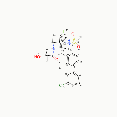 CC(C)(O)C(=O)N1C2CC(F)(C2)[C@H](NS(C)(=O)=O)[C@@H]1Cc1cccc(-c2cccc(Cl)c2)c1F